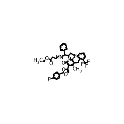 CCOC(=O)CCCNC(c1ccccc1)C1CSc2c(Cc3c(F)cccc3C(F)(F)F)c(C)c(C3=COC(c4ccc(F)cc4)O3)c(=O)n21